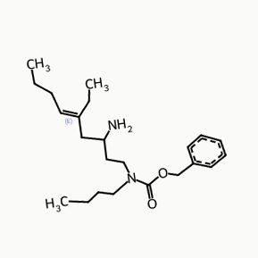 CCC/C=C(\CC)CC(N)CCN(CCCC)C(=O)OCc1ccccc1